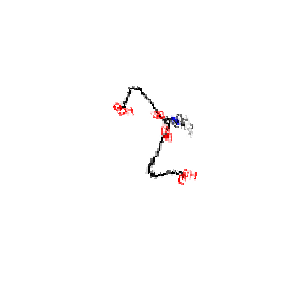 CN(C)Cc1cc(COC(=O)CCCCCCCC/C=C\C/C=C\CCCCCCCC(=O)O)cc(COC(=O)CCCCCCCC/C=C\C/C=C\CCCCCCCC(=O)O)c1